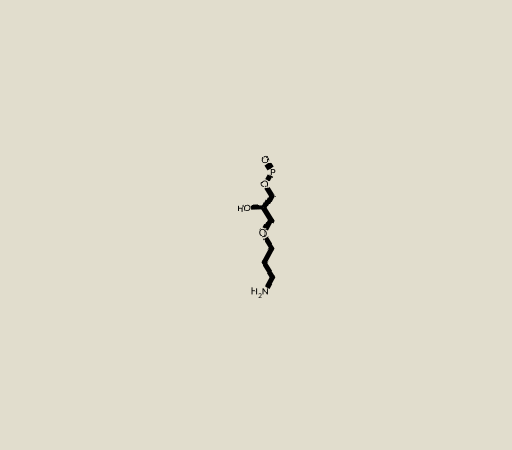 NCCCOCC(O)COP=O